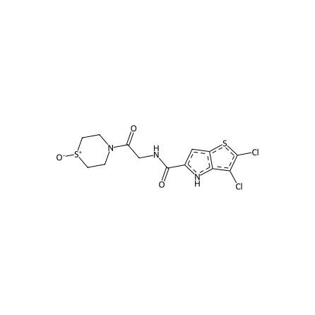 O=C(NCC(=O)N1CC[S+]([O-])CC1)c1cc2sc(Cl)c(Cl)c2[nH]1